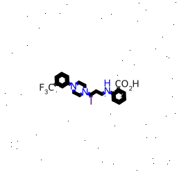 O=C(O)c1ccccc1NCCC(I)N1CCN(c2cccc(C(F)(F)F)c2)CC1